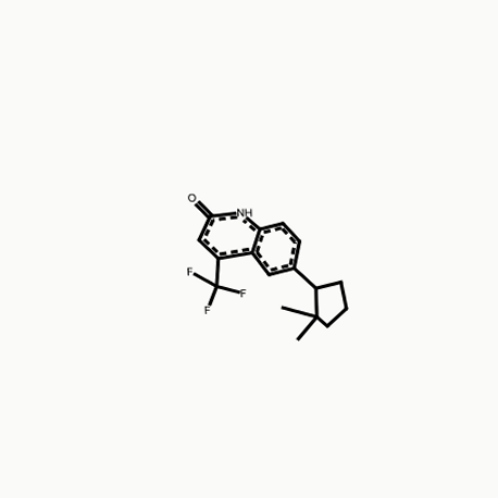 CC1(C)CCCC1c1ccc2[nH]c(=O)cc(C(F)(F)F)c2c1